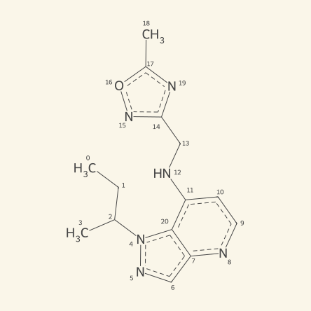 CCC(C)n1ncc2nccc(NCc3noc(C)n3)c21